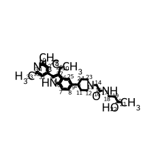 Cc1cc(-c2[nH]c3ccc(C4CCN(CC(=O)NCCC(C)O)CC4)cc3c2C(C)C)cc(C)n1